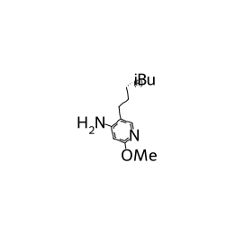 CC[C@@H](C)CCCc1cnc(OC)cc1N